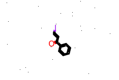 O=C(/C=C/I)c1ccccc1